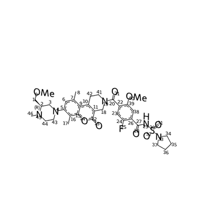 COC[C@H]1CN(c2cc(C)c3c4c(c(=O)oc3c2C)CN(C(=O)c2cc(F)c(C(=O)NS(=O)(=O)N3CCCC3)cc2OC)CC4)CCN1C